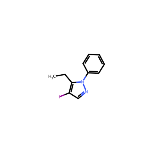 CCc1c(I)cnn1-c1ccccc1